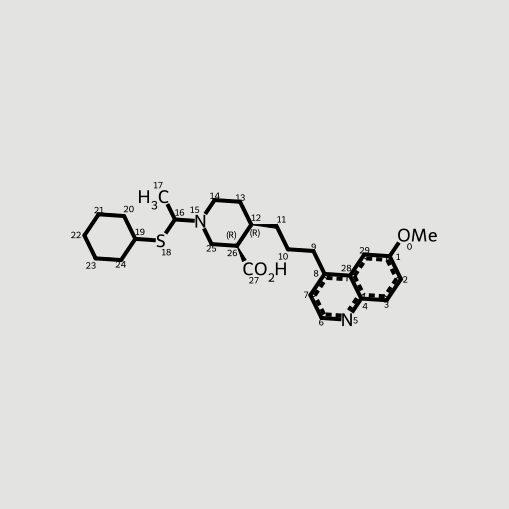 COc1ccc2nccc(CCC[C@@H]3CCN(C(C)SC4CCCCC4)C[C@@H]3C(=O)O)c2c1